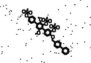 COc1cc(-c2ccc(OS(C)(=O)=O)cc2)c(OC)c(OS(C)(=O)=O)c1-c1ccc(OCc2ccc(-c3ccccc3)cc2)c(OS(C)(=O)=O)c1